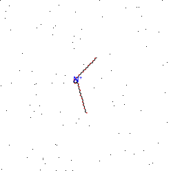 CCCCCCCCCCCCCCCCCCCc1ccc[n+](CCCCCCCCCCCCCCCCCC)c1